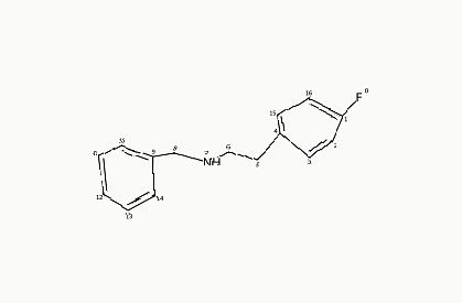 Fc1ccc(CCNCc2ccccc2)cc1